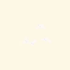 NC1=C[N+](=O)N=C1N